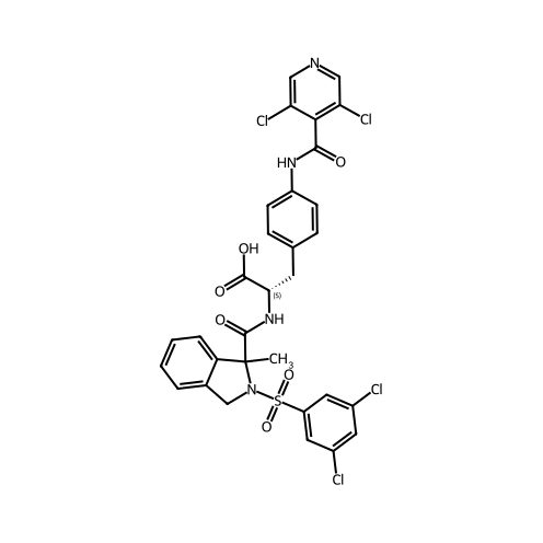 CC1(C(=O)N[C@@H](Cc2ccc(NC(=O)c3c(Cl)cncc3Cl)cc2)C(=O)O)c2ccccc2CN1S(=O)(=O)c1cc(Cl)cc(Cl)c1